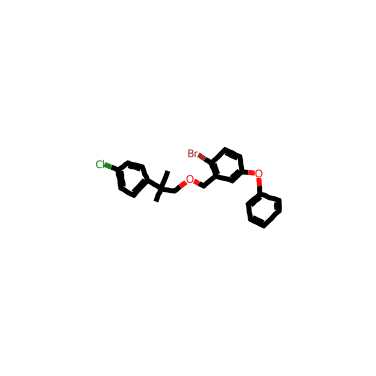 CC(C)(COCc1cc(Oc2ccccc2)ccc1Br)c1ccc(Cl)cc1